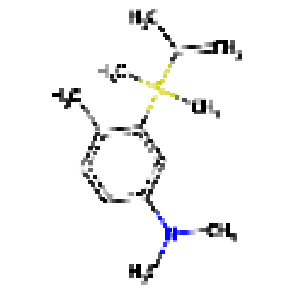 C=C(C)S(C)(C)c1cc(N(C)C)ccc1C